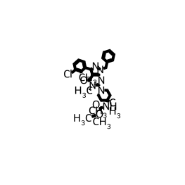 Cc1c(Cl)cccc1-c1nn(Cc2ccccc2)c2nc(N3CCC(C)(NC(=O)OC(C)(C)C)CC3)n(C)c(=O)c12